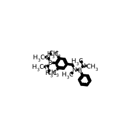 Cc1cc(CN(C)B(c2ccccc2)N(C)C)cc(C)c1B(N(C)C)N(C)C